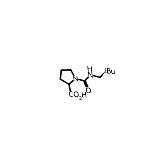 CC[C@H](C)CNC(=O)N1CCCC1C(=O)O